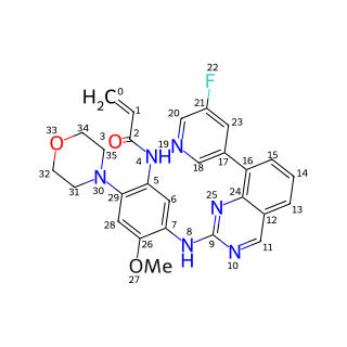 C=CC(=O)Nc1cc(Nc2ncc3cccc(-c4cncc(F)c4)c3n2)c(OC)cc1N1CCOCC1